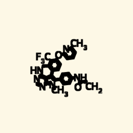 C=CC(=O)Nc1ccc(-c2c3c4c(ncnc4n2C)NCc2c-3ccc(Oc3cccc(C)n3)c2C(F)(F)F)cc1